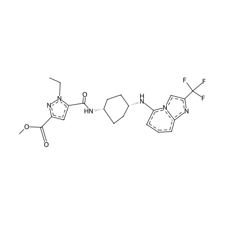 CCn1nc(C(=O)OC)cc1C(=O)N[C@H]1CC[C@@H](Nc2cccc3nc(C(F)(F)F)cn23)CC1